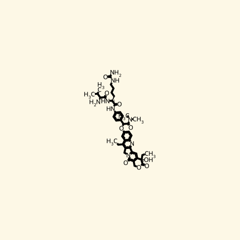 CCc1c2c(nc3ccc(OC(C(=O)N(C)C)c4ccc(NC(=O)[C@H](CCCCNC(N)=O)NC(=O)[C@@H](N)C(C)C)cc4)cc13)-c1cc3c(c(=O)n1C2)COC(=O)[C@]3(O)CC